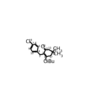 CC(C)COC1=C(Cc2ccc(Cl)cc2)C(=O)CC(C)(C)C1